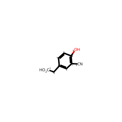 N#Cc1cc(CC(=O)O)ccc1O